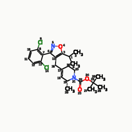 CC(C)c1onc(-c2c(Cl)cccc2Cl)c1CC1=C[C@@H](C)N(C(=O)OC(C)(C)C)CC1